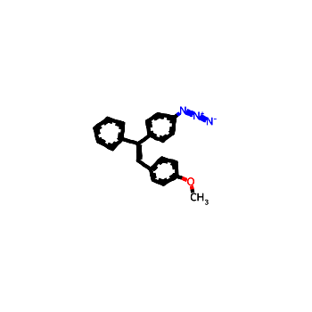 COc1ccc(C=C(c2ccccc2)c2ccc(N=[N+]=[N-])cc2)cc1